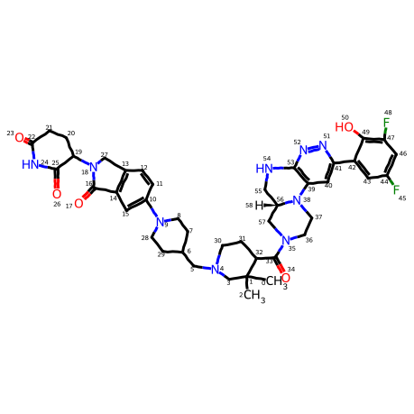 CC1(C)CN(CC2CCN(c3ccc4c(c3)C(=O)N(C3CCC(=O)NC3=O)C4)CC2)CCC1C(=O)N1CCN2c3cc(-c4cc(F)cc(F)c4O)nnc3NC[C@H]2C1